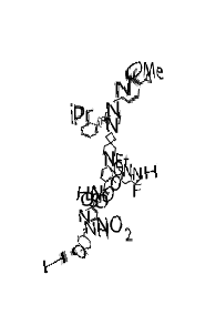 CCOc1nc2[nH]cc(F)c2cc1Oc1cc(N2CCC3(CC2)CC(N2CCN(Cc4ccc(C5CC5)c(OC)n4)C[C@H]2c2ccccc2C(C)C)C3)ccc1C(=O)NS(=O)(=O)c1cnc(NCC2CCC(C)(O)CC2)c([N+](=O)[O-])c1